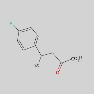 CCC(CC(=O)C(=O)O)c1ccc(F)cc1